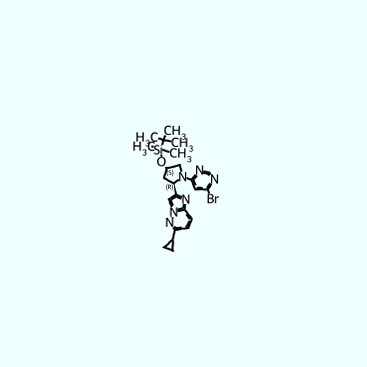 CC(C)(C)[Si](C)(C)O[C@H]1C[C@H](c2cn3nc(C4CC4)ccc3n2)N(c2cc(Br)ncn2)C1